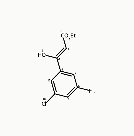 CCOC(=O)/C=C(\O)c1cc(F)cc(Cl)c1